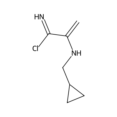 C=C(NCC1CC1)C(=N)Cl